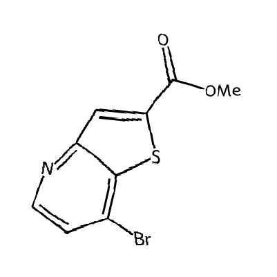 COC(=O)c1cc2nccc(Br)c2s1